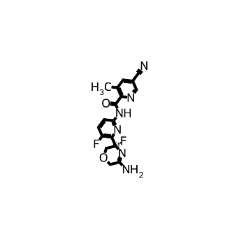 Cc1cc(C#N)cnc1C(=O)Nc1ccc(F)c([C@]2(F)COCC(N)=N2)n1